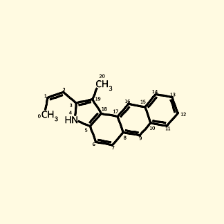 C/C=C\c1[nH]c2ccc3cc4ccccc4cc3c2c1C